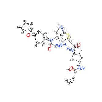 C=CC(=O)NC1CCC(NC(=O)c2sc3nccc4c3c2NC(=O)N4c2ccc(Oc3ccccc3)cc2)C1